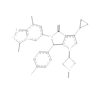 Cc1cc(N2C(=O)c3c(C4CC4)cn(C4CN(C)C4)c3C2c2ccc(Cl)cc2)cn2c(C)nnc12